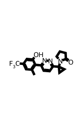 Cc1cc(C(F)(F)F)cc(O)c1-c1ccc(C2(N3CCCC3=O)CC2)nn1